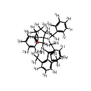 [2H]c1cccc(C([2H])([2H])N(C([2H])([2H])c2c([2H])c([2H])c([2H])c([2H])c2[2H])C2(C([2H])(NC(=O)c3c(C([2H])([2H])[2H])c([2H])c([2H])c([2H])c3C([2H])([2H])[2H])c3c([2H])c([2H])c([2H])c([2H])c3[2H])C([2H])([2H])C([2H])([2H])C([2H])([2H])C2([2H])[2H])c1[2H]